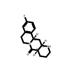 O=C1[C@H]2CCCN[C@H]2C[C@H]2c3ccc(F)cc3CCN12